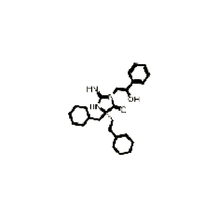 N=C1N[C@](CCC2CCCCC2)(CC2CCCCC2)C(=O)N1CC(O)c1ccccc1